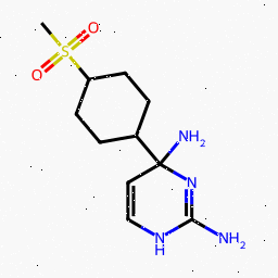 CS(=O)(=O)C1CCC(C2(N)C=CNC(N)=N2)CC1